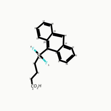 O=C(O)CCC[Si](F)(F)c1c2ccccc2cc2ccccc12